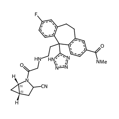 CNC(=O)c1ccc2c(c1)CCc1cc(F)ccc1C2(CCNCC(=O)N1C(C#N)C[C@@H]2C[C@@H]21)c1nnn[nH]1